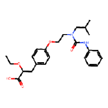 CCOC(Cc1ccc(OCCN(CC(C)C)C(=O)Nc2ccccc2)cc1)C(=O)O